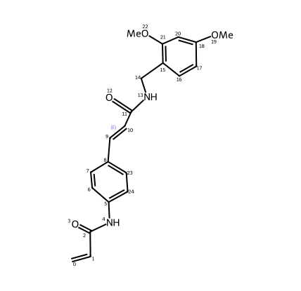 C=CC(=O)Nc1ccc(/C=C/C(=O)NCc2ccc(OC)cc2OC)cc1